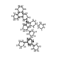 c1ccc(-c2ccc3c(c2)c2c(-c4cccc(-c5nc(-c6ccccc6)nc(-c6ccccc6)n5)c4)cccc2n3-c2ccc3c4ccccc4c4ccccc4c3c2)cc1